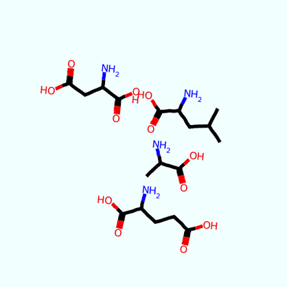 CC(C)CC(N)C(=O)O.CC(N)C(=O)O.NC(CC(=O)O)C(=O)O.NC(CCC(=O)O)C(=O)O